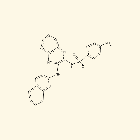 Nc1ccc(S(=O)(=O)Nc2nc3ccccc3nc2Nc2ccc3ccccc3c2)cc1